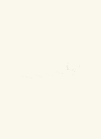 CC(C)NC(=O)CCOCCCCC(C)(C)C